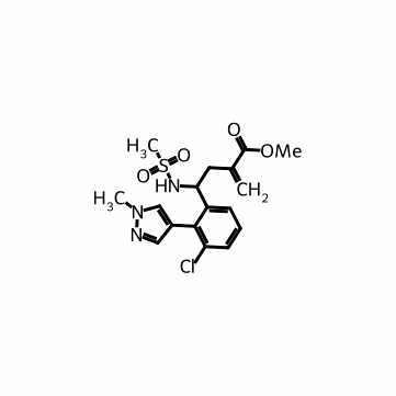 C=C(CC(NS(C)(=O)=O)c1cccc(Cl)c1-c1cnn(C)c1)C(=O)OC